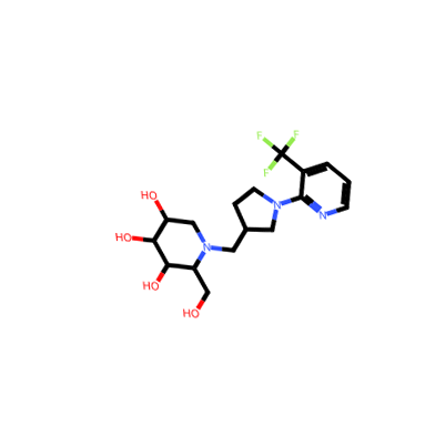 OCC1C(O)C(O)C(O)CN1CC1CCN(c2ncccc2C(F)(F)F)C1